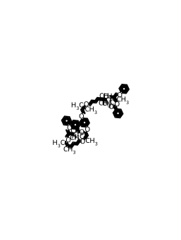 CC(CCCCOC(C)(C)CCOc1ccc(OCCC(C)(C)OCCCCC(C)(C)C(C)(C)OCC(COc2ccccc2)C(C)(C)OC(=O)c2ccccc2)cc1)C(C)OCC(COc1ccccc1)C(C)(C)OC(=O)c1ccccc1